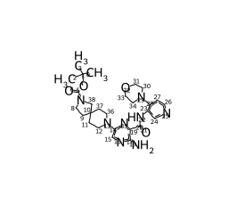 CC(C)(C)OC(=O)N1CCC2(CCN(c3cnc(N)c(C(=O)Nc4cnccc4N4CCOCC4)n3)CC2)C1